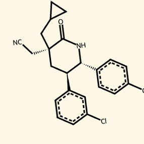 N#CC[C@@]1(CC2CC2)C[C@H](c2cccc(Cl)c2)[C@@H](c2ccc(Cl)cc2)NC1=O